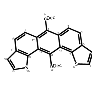 CCCCCCCCCCc1c2ccc3ccsc3c2c(CCCCCCCCCC)c2c1ccc1ccsc12